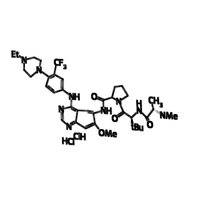 CCN1CCN(c2ccc(Nc3ncnc4cc(OC)c(NC(=O)C5CCCN5C(=O)[C@@H](NC(=O)[C@H](C)NC)C(C)(C)C)cc34)cc2C(F)(F)F)CC1.Cl.Cl